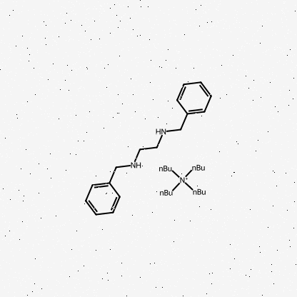 CCCC[N+](CCCC)(CCCC)CCCC.c1ccc(CNCCNCc2ccccc2)cc1